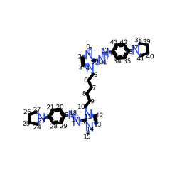 Cn1cc[n+](CCCCCCn2cc[n+](C)c2/N=N/c2ccc(N3CCCC3)cc2)c1/N=N/c1ccc(N2CCCC2)cc1